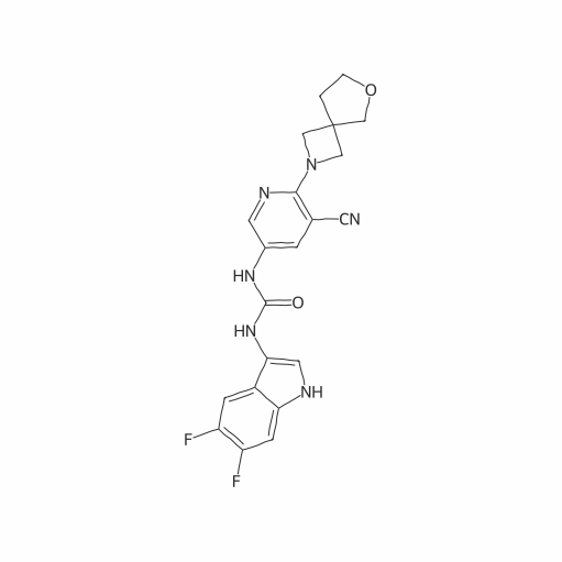 N#Cc1cc(NC(=O)Nc2c[nH]c3cc(F)c(F)cc23)cnc1N1CC2(CCOC2)C1